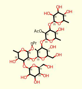 CCCO[C@@H]1OC(C)[C@H](O)C(O[C@H]2O[C@@H](CO)[C@@H](O)C(O)C2O)[C@@H]1O[C@@H]1OC(CO)[C@@H](O)C(O[C@@H]2OC(C)[C@H](O)C(O[C@@H]3OC(C)[C@H](O)C(O)[C@@H]3O)[C@@H]2OC(C)=O)[C@@H]1C